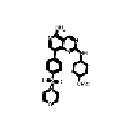 COC1CCC(Nc2ncc3c(N)ncc(-c4ccc(S(=O)(=O)N5CCOCC5)cc4)c3n2)CC1